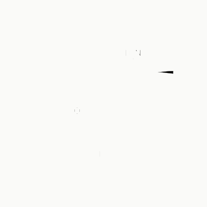 C=CCOc1cc([C@H](C)N)ccc1F